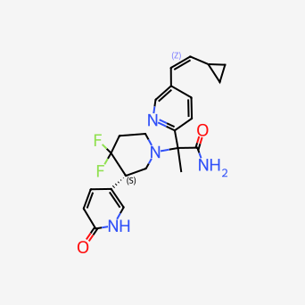 CC(C(N)=O)(c1ccc(/C=C\C2CC2)cn1)N1CCC(F)(F)[C@@H](c2ccc(=O)[nH]c2)C1